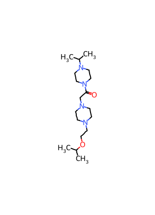 CC(C)OCCN1CCN(CC(=O)N2CCN(C(C)C)CC2)CC1